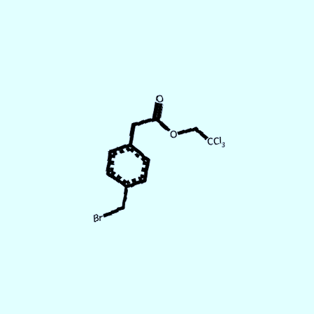 O=C(Cc1ccc(CBr)cc1)OCC(Cl)(Cl)Cl